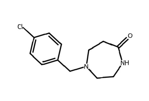 O=C1CCN(Cc2ccc(Cl)cc2)CCN1